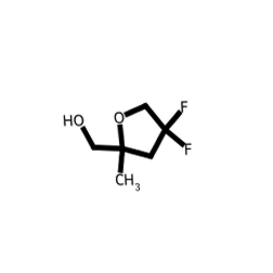 CC1(CO)CC(F)(F)CO1